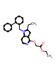 CCOC(=O)COc1nccc2c1cc(CC)n2Cc1ccccc1-c1ccccc1